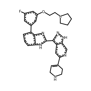 Fc1cc(OCCN2CCCC2)cc(-c2cccc3[nH]c(-c4n[nH]c5cnc(C6=CCNCC6)cc45)nc23)c1